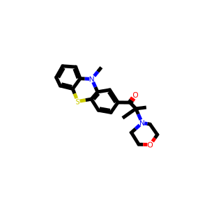 CN1c2ccccc2Sc2ccc(C(=O)C(C)(C)N3CCOCC3)cc21